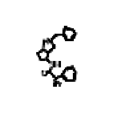 CC(C)C(C(=O)NC1CCC2CN(Cc3ccccc3)CC21)c1ccccc1